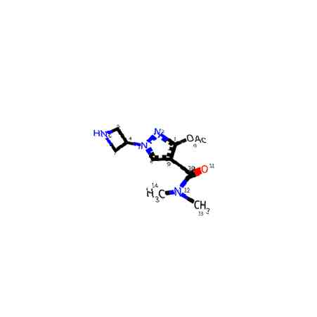 CC(=O)Oc1nn(C2CNC2)cc1C(=O)N(C)C